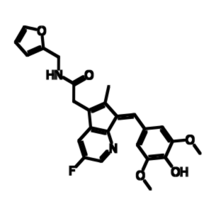 COc1cc(C=C2C(C)=C(CC(=O)NCc3ccco3)c3cc(F)cnc32)cc(OC)c1O